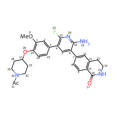 COc1cc(-c2cc(-c3ccc4c(c3)CCNC4=O)c(N)nc2F)ccc1OC1CCN(C(C)=O)CC1